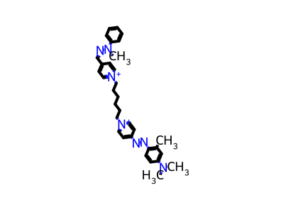 Cc1cc(N(C)C)ccc1/N=N/c1cc[n+](CCCCCC[n+]2ccc(/C=N\N(C)c3ccccc3)cc2)cc1